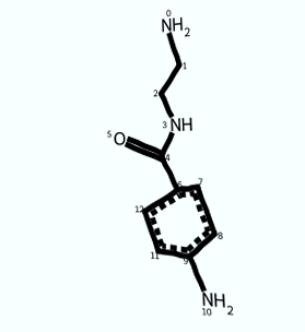 NCCNC(=O)c1ccc(N)cc1